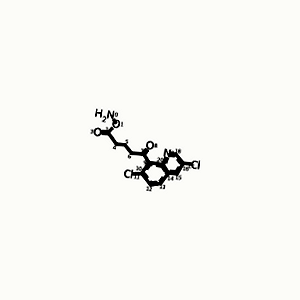 NOC(=O)CCCC(=O)c1c(Cl)ccc2cc(Cl)cnc12